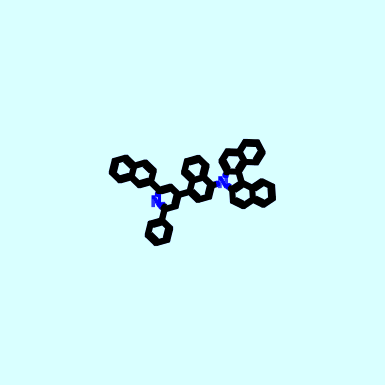 c1ccc(-c2cc(-c3ccc(-n4c5ccc6ccccc6c5c5c6ccccc6ccc54)c4ccccc34)cc(-c3ccc4ccccc4c3)n2)cc1